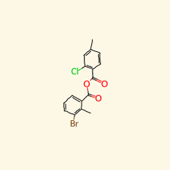 Cc1ccc(C(=O)OC(=O)c2cccc(Br)c2C)c(Cl)c1